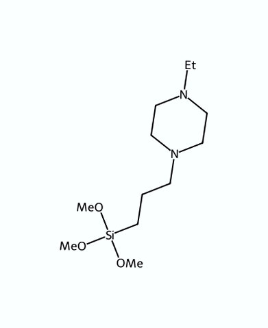 CCN1CCN(CCC[Si](OC)(OC)OC)CC1